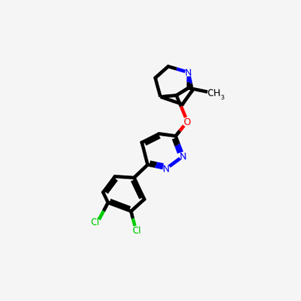 CC1C(Oc2ccc(-c3ccc(Cl)c(Cl)c3)nn2)C2CCN1CC2